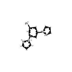 CC(C)c1cc(-n2cccn2)cc(-n2cccn2)c1